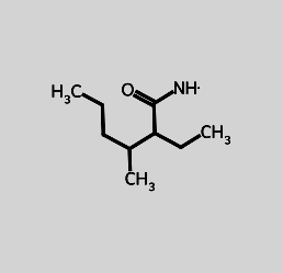 CCCC(C)C(CC)C([NH])=O